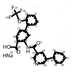 O=C(Nc1cc(-c2ccccc2OC(F)(F)F)ccc1C(=O)O)c1cncc(-c2ccccc2)c1.[NaH]